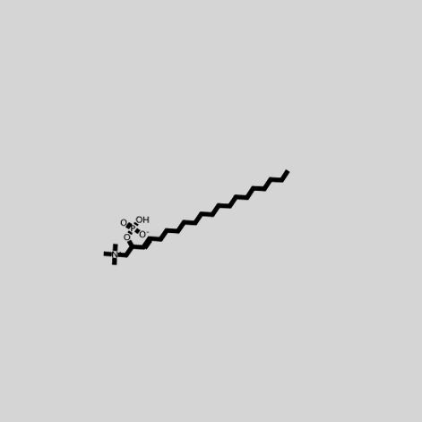 CCCCCCCCCCCCCCCCC=CC(C[N+](C)(C)C)OP(=O)([O-])O